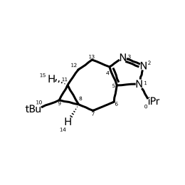 CC(C)n1nnc2c1CC[C@H]1C(C(C)(C)C)[C@H]1CC2